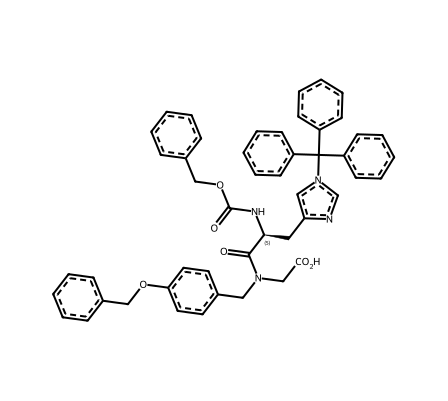 O=C(O)CN(Cc1ccc(OCc2ccccc2)cc1)C(=O)[C@H](Cc1cn(C(c2ccccc2)(c2ccccc2)c2ccccc2)cn1)NC(=O)OCc1ccccc1